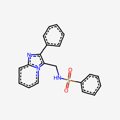 O=S(=O)(NCc1c(-c2ccccc2)nc2ccccn12)c1ccccc1